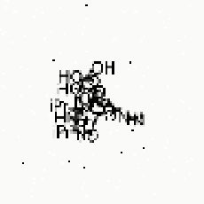 CNC(=O)[C@@H](NC(=O)[C@H](C(C)C)N(C)C(=O)OCc1ccc(O[C@@H]2O[C@H](CO)[C@H](O)[C@H](O)[C@H]2O)c2cc(CN=[N+]=[N-])oc12)C(C)C